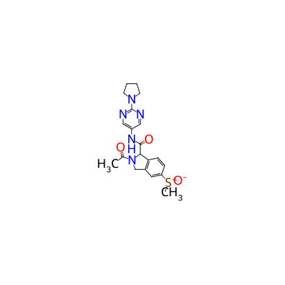 CC(=O)N1Cc2cc([S+](C)[O-])ccc2C1C(=O)Nc1cnc(N2CCCC2)nc1